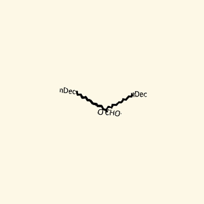 CCCCCCCCCCCCCC=CC=CC=CC=CC(=O)C([C]=O)CCCCCCCCCCCCCCCCCCCC